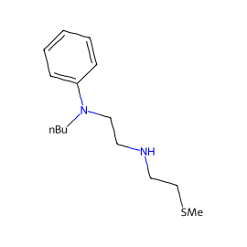 CCCCN(CCNCCSC)c1ccccc1